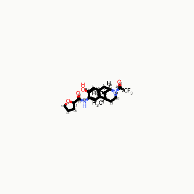 CC1(C)[C@H]2Cc3cc(O)c(NC(=O)C4CCCO4)cc3[C@]1(C)CCN2C(=O)C(F)(F)F